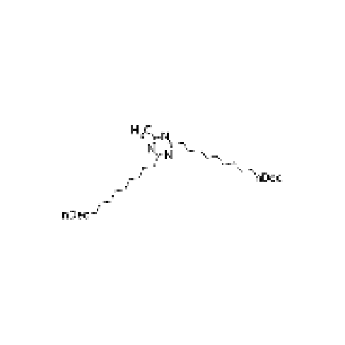 CCCCCCCCCCCCCCCCCCCc1nc(C)nc(CCCCCCCCCCCCCCCCCCC)n1